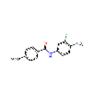 COc1ccc(C(=O)Nc2ccc([N+](=O)[O-])c(F)c2)cc1